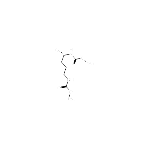 CC(=O)[C@H](CCCNC(=O)OC(C)(C)C)NC(=O)OC(C)(C)C